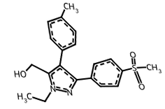 CCn1nc(-c2ccc(S(C)(=O)=O)cc2)c(-c2ccc(C)cc2)c1CO